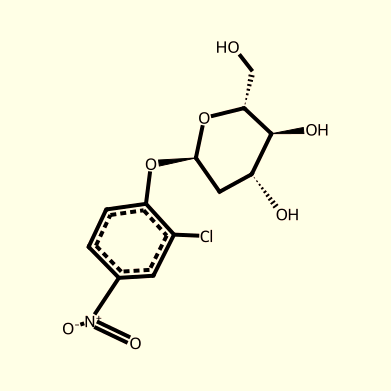 O=[N+]([O-])c1ccc(O[C@@H]2C[C@@H](O)[C@H](O)[C@@H](CO)O2)c(Cl)c1